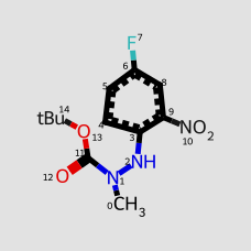 CN(Nc1ccc(F)cc1[N+](=O)[O-])C(=O)OC(C)(C)C